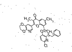 Cc1cc([C@@H](C)Oc2ccc(Cl)nc2SCc2ccccc2)c2oc(-c3cnc4c(c3)OCCO4)c(C)c(=O)c2c1